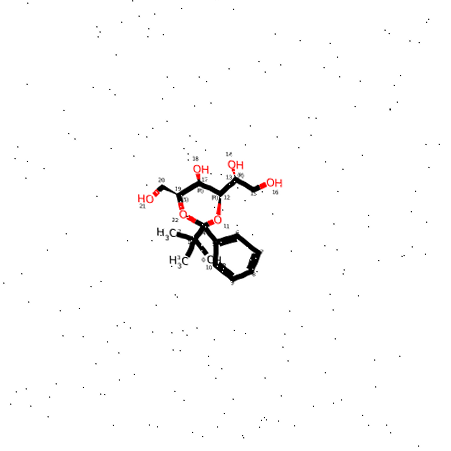 CC(C)(C)C1(c2ccccc2)O[C@H]([C@H](O)CO)[C@H](O)[C@H](CO)O1